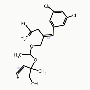 C=C(CC)C/C(=C\c1cc(Cl)cc(Cl)c1)COC(C)OC(C)(/C=C\CC)CO